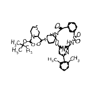 Cc1cccc(C)c1-c1cc2nc(n1)NS(=O)(=O)c1cccc(c1)C(=O)NC1(CCN(C(=O)C3CSCCN3C(=O)OC(C)(C)C)CC1)O2